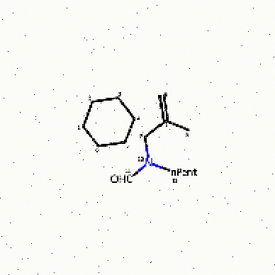 C1CCCCC1.C=C(C)CN(C=O)CCCCC